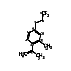 C=C(C)c1ccc(CCC(F)(F)F)cc1C